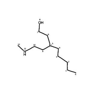 CCCCCN(CCO)CCNC